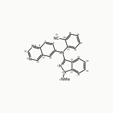 CNn1nc(N(c2ccc3ncncc3c2)c2ccccc2C#N)c2ccccc21